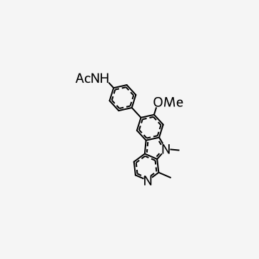 COc1cc2c(cc1-c1ccc(NC(C)=O)cc1)c1ccnc(C)c1n2C